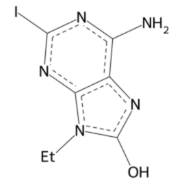 CCn1c(O)nc2c(N)nc(I)nc21